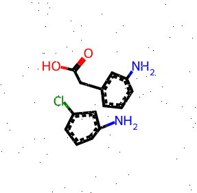 Nc1cccc(CC(=O)O)c1.Nc1cccc(Cl)c1